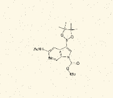 CC(=O)Nc1cc2c(B3OC(C)(C)C(C)(C)O3)cn(C(=O)OC(C)(C)C)c2cn1